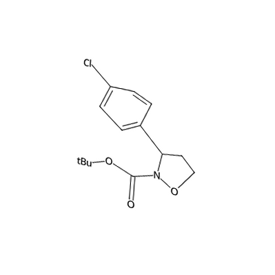 CC(C)(C)OC(=O)N1OCCC1c1ccc(Cl)cc1